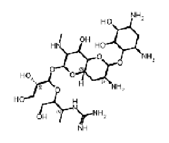 CNC1C(OC(OC(CO)[C@H](C)NC(=N)N)[C@@H](O)CO)O[C@H]2C[C@H](N)C(OC3C(N)CC(N)C(O)C3O)OC2C1O